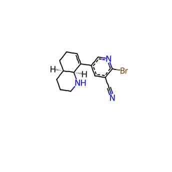 N#Cc1cc(C2=CCC[C@@H]3CCCN[C@H]23)cnc1Br